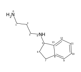 NCCCNC1CCc2ccccc21